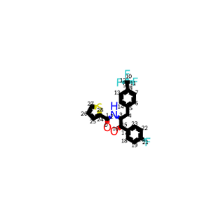 O=C(NC(Cc1ccc(C(F)(F)F)cc1)C(=O)c1ccc(F)cc1)c1cccs1